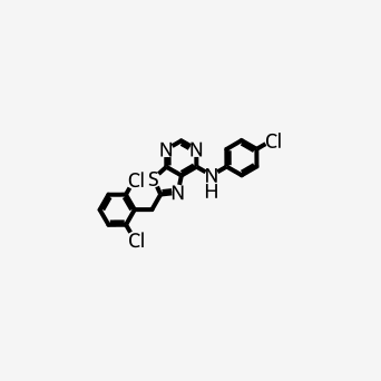 Clc1ccc(Nc2ncnc3sc(Cc4c(Cl)cccc4Cl)nc23)cc1